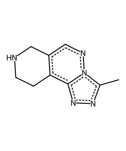 Cc1nnc2c3c(cnn12)CNCC3